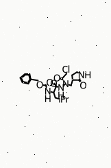 CC(C)CC(NC(=O)OCc1ccccc1)C(=O)NN(CC1CCNC1=O)C(=O)CCl